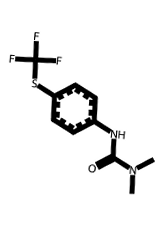 CN(C)C(=O)Nc1ccc(SC(F)(F)F)cc1